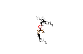 CC#CSC(=S)OCCC(C)C